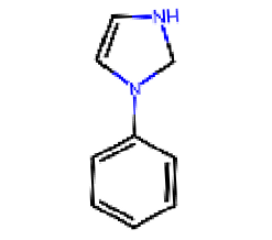 C1=CN(c2ccccc2)CN1